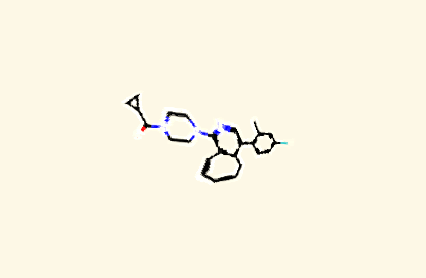 Cc1cc(F)ccc1-c1cnc(N2CCN(C(=O)C3CC3)CC2)c2c1CC=CC=C2